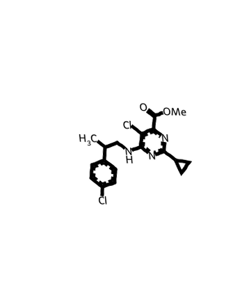 COC(=O)c1nc(C2CC2)nc(NCC(C)c2ccc(Cl)cc2)c1Cl